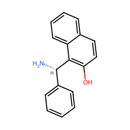 N[C@@H](c1ccccc1)c1c(O)ccc2ccccc12